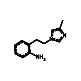 Cc1cn(CCc2ccccc2N)cn1